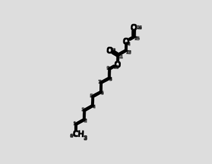 CCCCCCCCCCOC(=O)COC=O